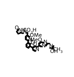 COc1nc(-c2cccc(-c3ccnc(-c4cc(OC)c5nc(CN6CC(C)(O)C6)cn5c4)c3Cl)c2Cl)ccc1CN(CC1CCC(=O)N1)C(=O)O